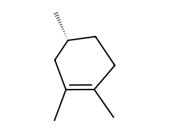 CC1=C(C)C[C@H](C)CC1